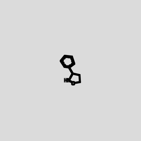 c1ccc(C2CCON2)cc1